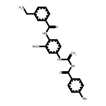 C=C(NC(=O)c1ccc(C(C)(C)C)cc1)Nc1ccc(NC(=O)c2cccc(CN)c2)c(OC)c1